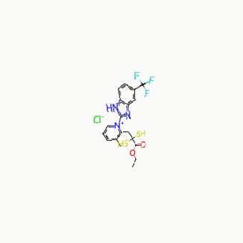 CCOC(=O)C(S)(S)Cc1c(C)ccc[n+]1-c1nc2cc(C(F)(F)F)ccc2[nH]1.[Cl-]